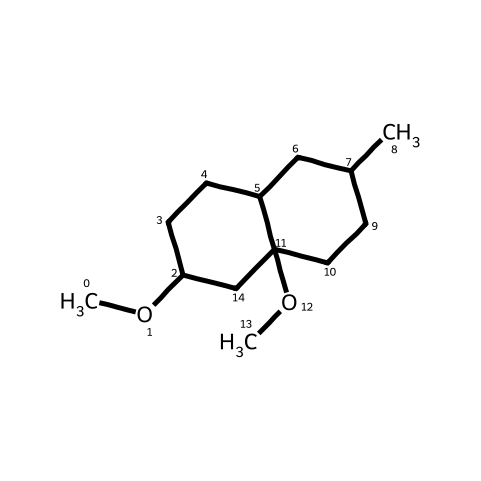 COC1CCC2CC(C)CCC2(OC)C1